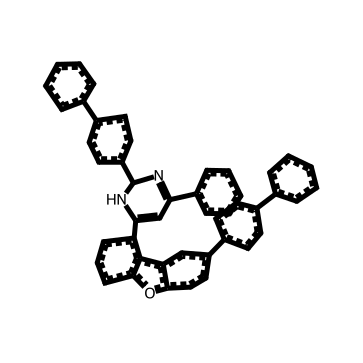 C1=C(c2cccc3oc4ccc(-c5ccc(-c6ccccc6)cc5)cc4c23)NC(c2ccc(-c3ccccc3)cc2)N=C1c1ccccc1